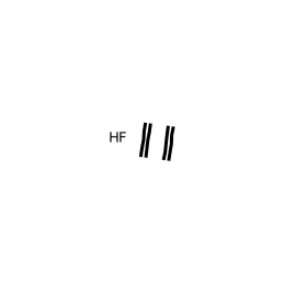 C=C.C=C.F